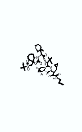 C=CCNC(=O)C(=O)C(CC1CC1)NC(=O)[C@@H]1[C@H]2C[C@H]2CN1C(=O)[C@@H](NC(=O)[C@@H](NC(=O)OC1(CS(=O)(=O)C(C)(C)C)CCCCC1)C1(C)CCCCC1)C(C)(C)C